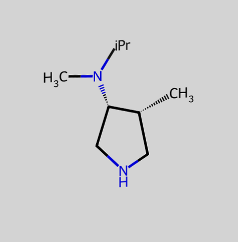 CC(C)N(C)[C@H]1CNC[C@H]1C